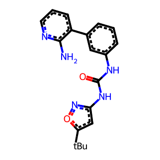 CC(C)(C)c1cc(NC(=O)Nc2cccc(-c3cccnc3N)c2)no1